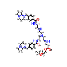 C[Si](C)(C)O[Si](C)(C)COC(=O)CCNCCN(CCNCCNC(=O)c1ccc(CN2CCCN3CCCC32)cc1)CCNC(=O)c1ccc(CN2CCCN3CCCC32)cc1